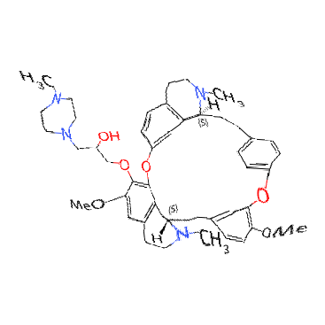 COc1ccc2cc1Oc1ccc(cc1)C[C@H]1c3cc(ccc3CCN1C)Oc1c(OCC(O)CN3CCN(C)CC3)c(OC)cc3c1[C@H](C2)N(C)CC3